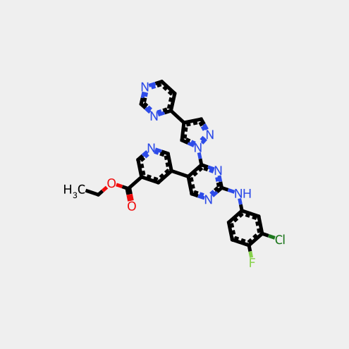 CCOC(=O)c1cncc(-c2cnc(Nc3ccc(F)c(Cl)c3)nc2-n2cc(-c3ccncn3)cn2)c1